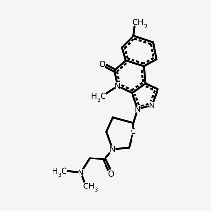 Cc1ccc2c(c1)c(=O)n(C)c1c2cnn1C1CCN(C(=O)CN(C)C)CC1